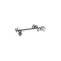 CC(C)CNC(=O)C=C(C=CCCCCCCOCc1cc(C(F)(F)F)cc(C(F)(F)F)c1)C(F)(F)F